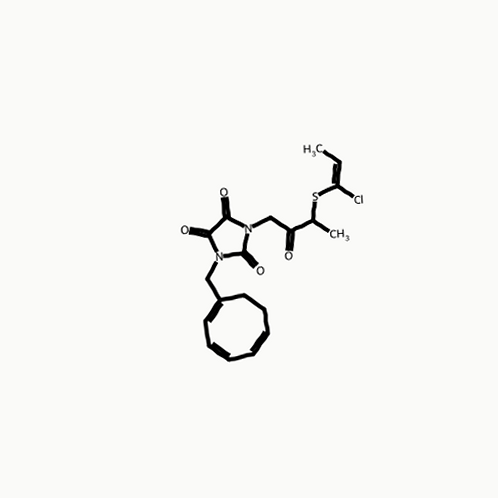 C/C=C(/Cl)SC(C)C(=O)CN1C(=O)C(=O)N(C/C2=C/C=C\C=C/CC2)C1=O